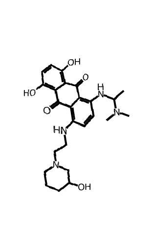 CC(Nc1ccc(NCCN2CCCC(O)C2)c2c1C(=O)c1c(O)ccc(O)c1C2=O)N(C)C